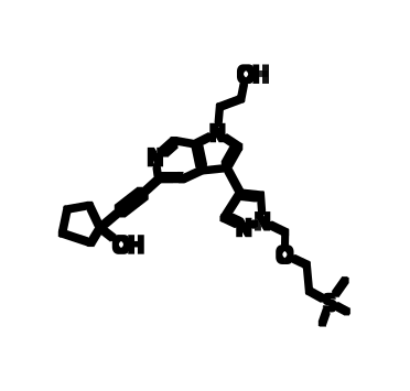 CS(C)(C)CCOCn1cc(-c2cn(CCO)c3cnc(C#CC4(O)CCCC4)cc23)cn1